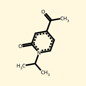 CC(=O)c1ccn(C(C)C)c(=O)c1